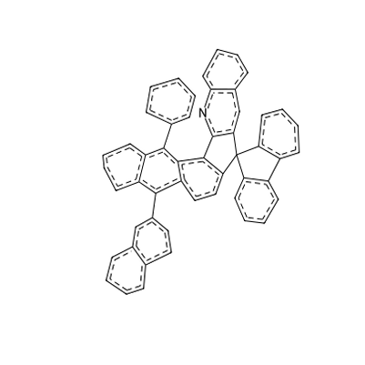 c1ccc(-c2c3ccccc3c(-c3ccc4ccccc4c3)c3ccc4c(c23)-c2nc3ccccc3cc2C42c3ccccc3-c3ccccc32)cc1